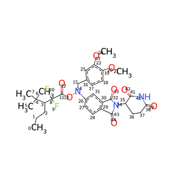 CCCC(C(C)(C)C)C(F)(F)C(=O)ON(Cc1ccc(OC)c(OC)c1)c1ccc2c(c1)C(=O)N(C1CCC(=O)NC1=O)C2=O